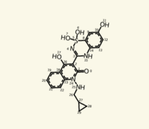 O=c1c(C2=NS(O)(O)c3cc(O)ccc3N2)c(O)c2ccccc2n1NCC1CC1